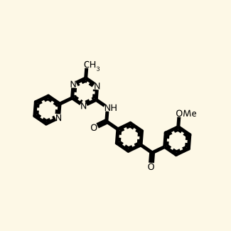 COc1cccc(C(=O)c2ccc(C(=O)Nc3nc(C)nc(-c4ccccn4)n3)cc2)c1